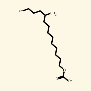 CC(C)CCCC(C)CCCCCCCCCOC(=O)C(C)C